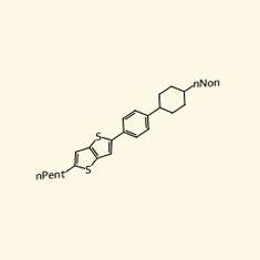 CCCCCCCCCC1CCC(c2ccc(-c3cc4sc(CCCCC)cc4s3)cc2)CC1